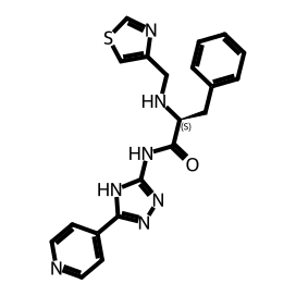 O=C(Nc1nnc(-c2ccncc2)[nH]1)[C@H](Cc1ccccc1)NCc1cscn1